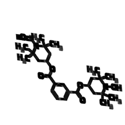 CCCCCCCCN1C(C)(C)CC(OC(=O)c2cccc(C(=O)OC3CC(C)(C)N(O)C(C)(C)C3)c2)CC1(C)C